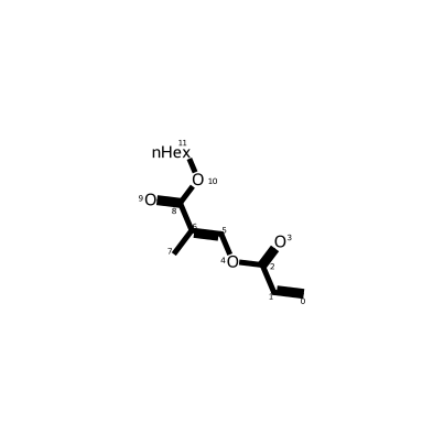 C=CC(=O)OC=C(C)C(=O)OCCCCCC